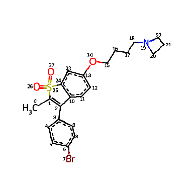 CC1=C(c2ccc(Br)cc2)c2ccc(OCCCCN3CCC3)cc2S1(=O)=O